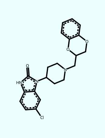 O=c1[nH]c2ccc(Cl)cc2n1C1CCN(CC2COc3ccccc3O2)CC1